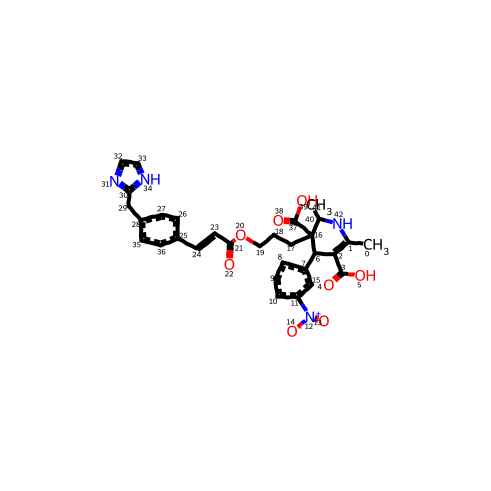 CC1=C(C(=O)O)C(c2cccc([N+](=O)[O-])c2)C(CCCOC(=O)C=Cc2ccc(Cc3ncc[nH]3)cc2)(C(=O)O)C(C)N1